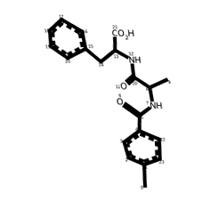 Cc1ccc(C(=O)NC(C)C(=O)NC(Cc2ccccc2)C(=O)O)cc1